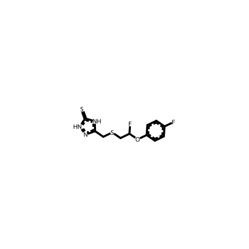 Fc1ccc(OC(F)CSCc2n[nH]c(=S)[nH]2)cc1